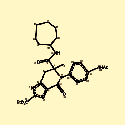 CCOC(=O)c1cc2n(n1)CC(C)(C(=O)NC1CCCCCC1)N(c1ccc(NC(C)=O)cc1)C2=O